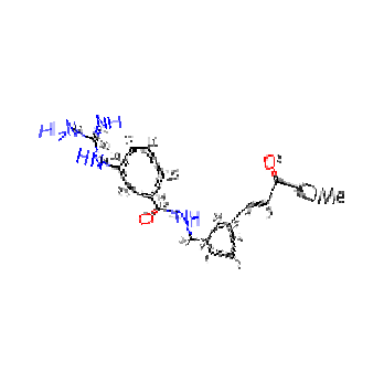 COC(=O)/C=C/c1cccc(CNC(=O)c2cccc(NC(=N)N)c2)c1